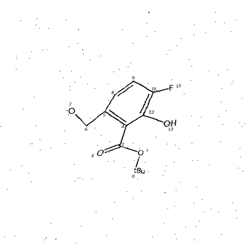 CC(C)(C)OC(=O)c1c(C[O])ccc(F)c1O